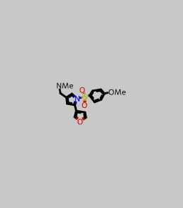 CNCc1cc(-c2ccoc2)n(S(=O)(=O)c2ccc(OC)cc2)c1